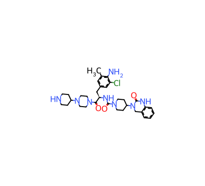 Cc1cc(C[C@@H](NC(=O)N2CCC(N3Cc4ccccc4NC3=O)CC2)C(=O)N2CCN(C3CCNCC3)CC2)cc(Cl)c1N